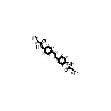 CC(C)CC(=O)Nc1ccc(CCc2ccc(NC(=O)CC(C)C)cc2)cc1